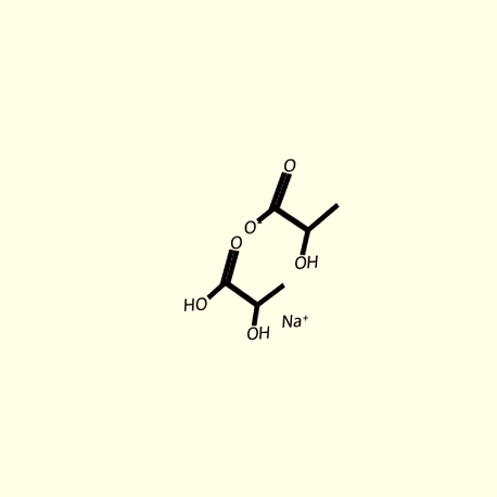 CC(O)C(=O)O.CC(O)C(=O)[O-].[Na+]